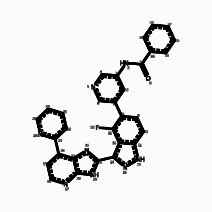 O=C(Nc1cncc(-c2ccc3[nH]nc(-c4nc5c(-c6ccccn6)ccnc5[nH]4)c3c2F)c1)c1ccccc1